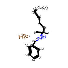 Br.CCCCCCCCCCCCCC(C)(C)NCc1ccccc1